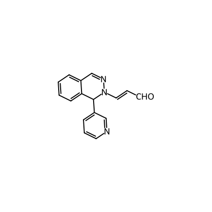 O=CC=CN1N=Cc2ccccc2C1c1cccnc1